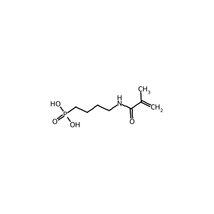 C=C(C)C(=O)NCCCCP(=O)(O)O